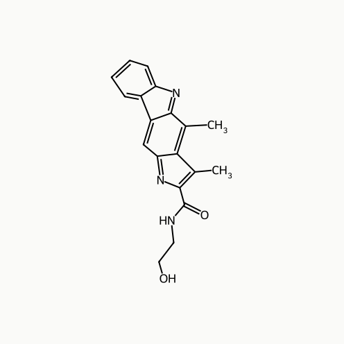 CC1=C(C(=O)NCCO)N=c2cc3c(c(C)c21)=Nc1ccccc1-3